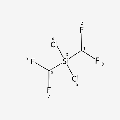 FC(F)[Si](Cl)(Cl)C(F)F